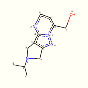 CC(C)N1Cc2nn3c(CO)ccnc3c2C1